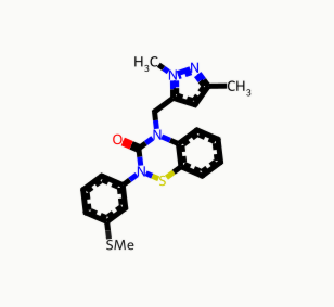 CSc1cccc(N2Sc3ccccc3N(Cc3cc(C)nn3C)C2=O)c1